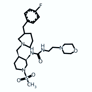 CS(=O)(=O)N1CC[C@@H](CN2CCCC(Cc3ccc(F)cc3)C2)[C@@H](NC(=O)NCCN2CCOCC2)C1